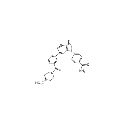 NC(=O)c1ccc(-c2c[nH]c3ncc(-c4cccc(C(=O)N5CCN(C(=O)O)CC5)c4)cc23)cc1